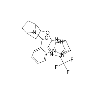 O=C(c1ccccc1-n1nccn1)N1C2CCC1C(Oc1cnc(C(F)(F)F)cn1)C2